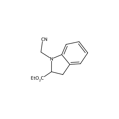 CCOC(=O)C1Cc2ccccc2N1CC#N